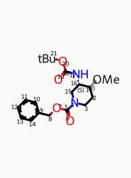 CO[C@@H]1CCN(C(=O)OCc2ccccc2)C[C@@H]1NC(=O)OC(C)(C)C